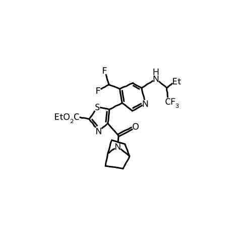 CCOC(=O)c1nc(C(=O)N2C3CCC2CC3)c(-c2cnc(NC(CC)C(F)(F)F)cc2C(F)F)s1